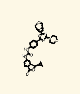 O=C(Nc1ccc(-c2nc(N3CCOCC3)nc(N3C4CCC3COC4)n2)cc1)Nc1ccc2c(c1)C(C1CC1)OC2=O